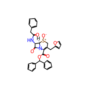 O=C(Cc1ccccc1)N[C@@H]1C(=O)N2C(C(=O)OC(c3ccccc3)c3ccccc3)=C(Cc3ccco3)C[S+]([O-])[C@H]12